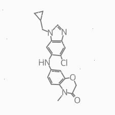 CN1C(=O)COc2cc(Nc3cc4c(cc3Cl)ncn4CC3CC3)ccc21